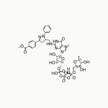 COC(=O)c1ccc(C2=NN(c3ccccc3)C(CNc3nc4c(c(=O)[nH]3)[n+](C)cn4[C@@H]3O[C@H](COP(=O)(O)OP(=O)(O)OP(=O)(O)OC[C@H]4O[C@@H](C)C(O)[C@H]4O)[C@H](O)C3O)C2)cc1